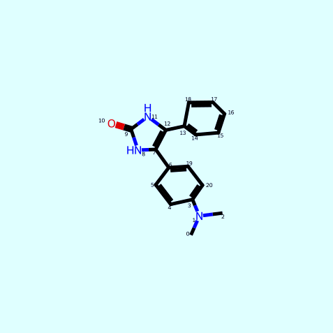 CN(C)c1ccc(-c2[nH]c(=O)[nH]c2-c2ccccc2)cc1